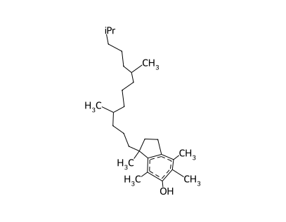 Cc1c(C)c2c(c(C)c1O)C(C)(CCCC(C)CCCC(C)CCCC(C)C)CC2